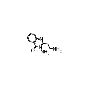 NCCc1nc2ccccc2c(=O)n1N